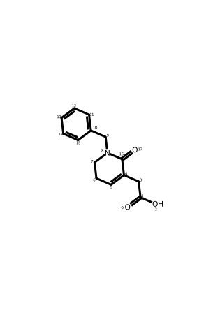 O=C(O)CC1=CCCN(Cc2ccccc2)C1=O